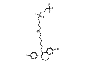 O=S(=O)(CCCCNCCCCCCC1=C(c2ccc(F)cc2)CCCc2cc(O)ccc21)CCCC(F)(F)F